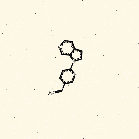 C=Cc1ccc(-n2ccc3ccncc32)nc1